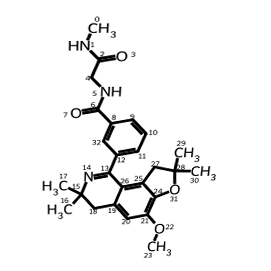 CNC(=O)CNC(=O)c1cccc(C2=NC(C)(C)Cc3cc(OC)c4c(c32)CC(C)(C)O4)c1